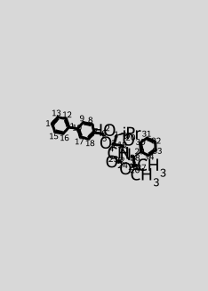 CC(C)[C@H](O)[C@](C)(OCc1ccc(-c2ccccc2)cc1)C(=O)N1C(=O)OC(C)(C)[C@@H]1c1ccccc1